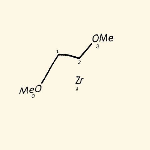 COCCOC.[Zr]